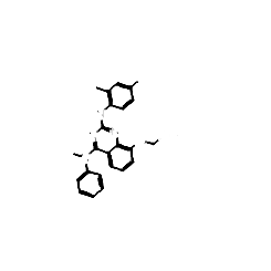 CCOC(=O)COc1cccc2c(N(C)c3ccccc3)nc(Nc3ccc(F)cc3C)nc12